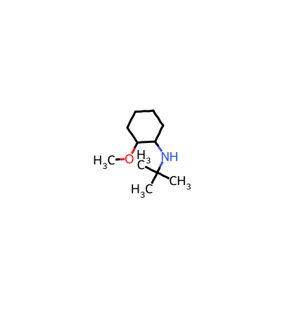 COC1CCCCC1NC(C)(C)C